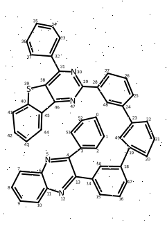 c1ccc(-c2nc3ccccc3nc2-c2cccc(-c3cccc(-c4cccc(-c5nc(-c6ccccc6)c6sc7ccccc7c6n5)c4)c3)c2)cc1